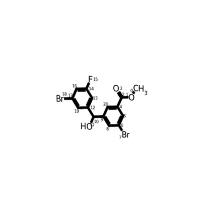 COC(=O)c1cc(Br)cc(C(O)c2cc(F)cc(Br)c2)c1